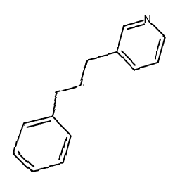 [CH](Cc1ccccc1)Cc1cccnc1